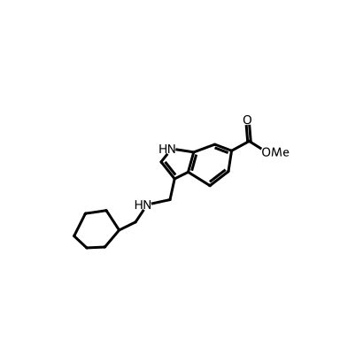 COC(=O)c1ccc2c(CNCC3CCCCC3)c[nH]c2c1